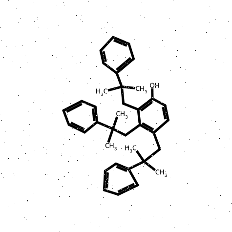 CC(C)(Cc1ccc(O)c(CC(C)(C)c2ccccc2)c1CC(C)(C)c1ccccc1)c1ccccc1